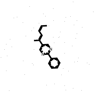 C/C=C\C=C(/C)c1cnc(-c2ccccc2)nc1